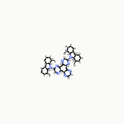 Cc1cccc2c3cccc(C)c3n(-c3cnc4c5nccnc5c5nc(-n6c7c(C)cccc7c7cccc(C)c76)cnc5c4n3)c12